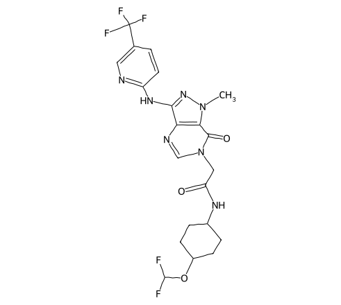 Cn1nc(Nc2ccc(C(F)(F)F)cn2)c2ncn(CC(=O)NC3CCC(OC(F)F)CC3)c(=O)c21